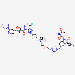 Cn1c(=O)n(C2CCC(=O)NC2=O)c2ccc(CN3CCN(CCO[C@H]4C[C@H](N(C)C[C@H]5CC[C@H](n6cc(NC(=O)c7coc(-c8ccnc(NCC9CC9)c8)n7)c(C(F)F)n6)CC5)C4)CC3)cc21